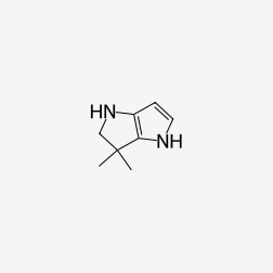 CC1(C)CNc2cc[nH]c21